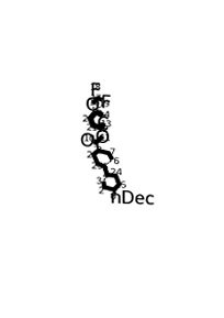 CCCCCCCCCC[C@H]1CC[C@H]([C@H]2CC[C@H](C(=O)Oc3ccc(OC(F)F)cc3)CC2)CC1